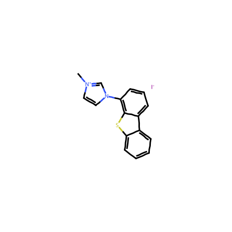 C[n+]1ccn(-c2cccc3c2sc2ccccc23)c1.[I-]